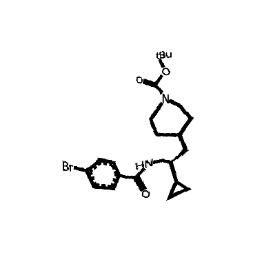 CC(C)(C)OC(=O)N1CCC(C[C@H](NC(=O)c2ccc(Br)cc2)C2CC2)CC1